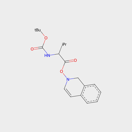 CC(C)C(NC(=O)OC(C)(C)C)C(=O)ON1C=Cc2ccccc2C1